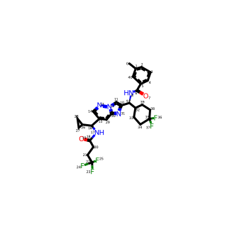 Cc1cccc(C(=O)N[C@H](c2cn3ncc(C(NC(=O)CCC(F)(F)F)C4CC4)cc3n2)C2CCC(F)(F)CC2)c1